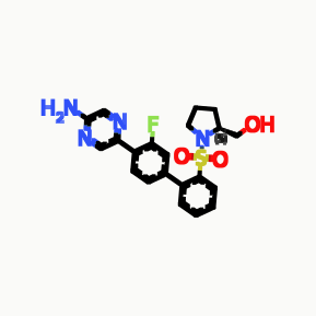 Nc1cnc(-c2ccc(-c3ccccc3S(=O)(=O)N3CCC[C@H]3CO)cc2F)cn1